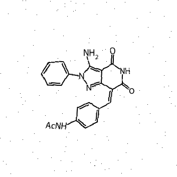 CC(=O)Nc1ccc(/C=C2/C(=O)NC(=O)c3c2nn(-c2ccccc2)c3N)cc1